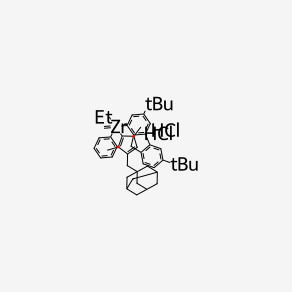 Cl.Cl.[CH2]=[Zr]([CH2]C)([C]1=C(C)C(CC23CC4CC(CC(C4)C2)C3)=CC1C)([c]1ccccc1)[c]1cc(C(C)(C)C)cc2c1Cc1ccc(C(C)(C)C)cc1-2